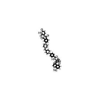 CC1(C)[C@H](NC(=O)c2ccc(N3CCC(CN4CCN(c5ccc6c(c5)C(=O)N(C5CCC(=O)NC5=O)C6=O)CC4)CC3)cc2)C2(C)c3ccnc4c(C#N)ccc(c34)O[C@@H]12